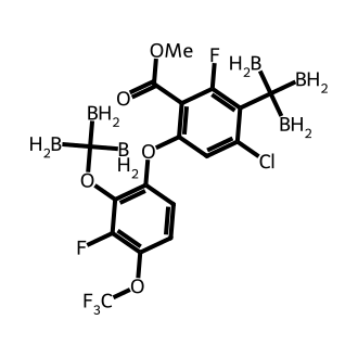 BC(B)(B)Oc1c(Oc2cc(Cl)c(C(B)(B)B)c(F)c2C(=O)OC)ccc(OC(F)(F)F)c1F